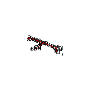 CCC(C)NC(=O)COCCOCCOCC(=O)NC(COCCC(=O)NCCOCCOCCOCCOC[C@H]1OC[C@H](Nc2cncc(C(F)(F)F)n2)[C@@H](O)[C@H]1O)COCCC(=O)NCCOCCOCCOCCOC[C@H]1OCC[C@@H](O)[C@H]1O